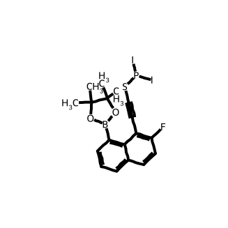 CC1(C)OB(c2cccc3ccc(F)c(C#CSP(I)I)c23)OC1(C)C